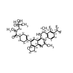 Cc1nc(N[C@H](C)c2cccc(C(F)F)c2F)c2cc(C3=CCC(C(=O)N(C)CC(C)(C)O)CC3)c3c(c2n1)CCO3